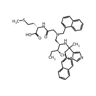 CC[C@H](C)[C@@H](CN(CC(=O)N[C@@H](CCSC)C(=O)O)Cc1cccc2ccccc12)NC(C)(Cc1ccc2ccccc2c1)c1cnc[nH]1